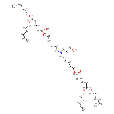 CC/C=C\CCCOC(CCCCC(=O)OCCCCCCN(CCCO)CCCCCCOC(=O)CCCCC(OCCC/C=C\CC)OCCC/C=C\CC)OCCC/C=C\CC